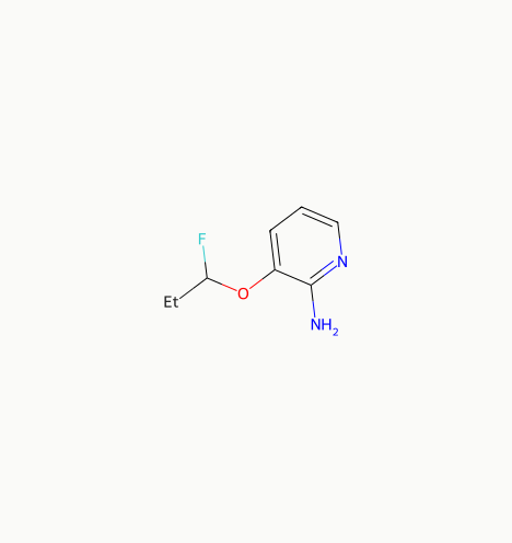 CCC(F)Oc1cccnc1N